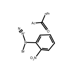 CCCC(=O)C(C)=O.N#[N+]N(Br)c1ccccc1[N+](=O)[O-]